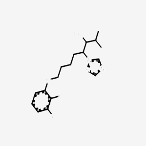 CC(C)C(O)C(CCCCOc1cccc(Cl)c1Cl)n1cncn1